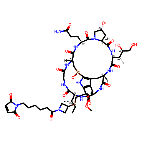 CC[C@H](C)[C@@H]1NC(=O)CNC(=O)[C@@H]2Cc3c([nH]c4c(CSC5CN(C(=O)CCCCCN6C(=O)C=CC6=O)C5)c(OC)ccc34)[S+]([O-])C[C@H](NC(=O)CNC1=O)C(=O)N[C@@H](CCC(N)=O)C(=O)N1C[C@H](O)C[C@H]1C(=O)N[C@@H]([C@@H](C)[C@@H](O)CO)C(=O)N2